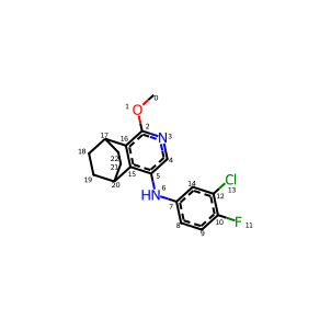 COc1ncc(Nc2ccc(F)c(Cl)c2)c2c1C1CCC2CC1